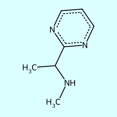 CNC(C)c1ncccn1